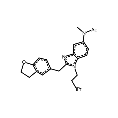 CC(=O)N(C)c1ccc2c(c1)nc(Cc1ccc3c(c1)CCO3)n2CCC(C)C